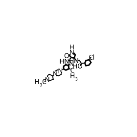 Cc1cc(N2CCN(C3CCN(C)CC3)CC2)cc2[nH]c(-c3c(NCC(O)c4cccc(Cl)c4)cc[nH]c3=O)nc12